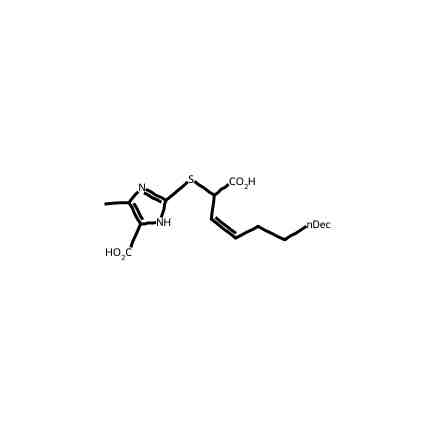 CCCCCCCCCCCC/C=C\C(Sc1nc(C)c(C(=O)O)[nH]1)C(=O)O